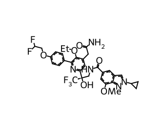 CCOc1c(CC(N)=O)cc([C@@](O)(CNC(=O)c2cc(OC)c3nn(C4CC4)cc3c2)C(F)(F)F)nc1-c1ccc(OCC(F)F)cc1